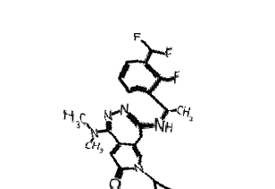 C[C@@H](Nc1nnc(N(C)C)c2cc(=O)n(C3CC3)cc12)c1cccc(C(F)F)c1F